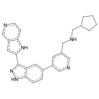 c1cc2[nH]c(-c3n[nH]c4ccc(-c5cncc(CNCC6CCCC6)c5)cc34)cc2cn1